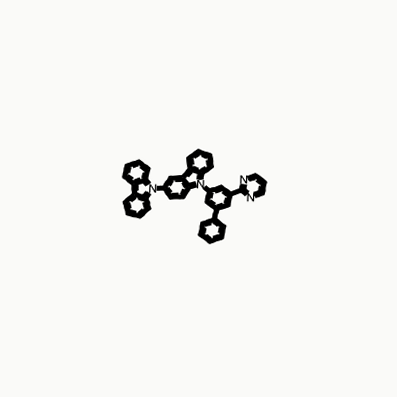 c1ccc(-c2cc(-c3ncccn3)cc(-n3c4ccccc4c4cc(-n5c6ccccc6c6ccccc65)ccc43)c2)cc1